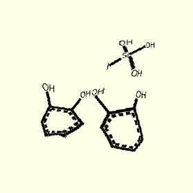 O[Si](O)(O)I.Oc1ccccc1O.Oc1ccccc1O